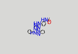 CC(=O)Nc1cccc(Nc2ncnc(-n3c(NCc4ccccc4)nc4ccccc43)n2)c1